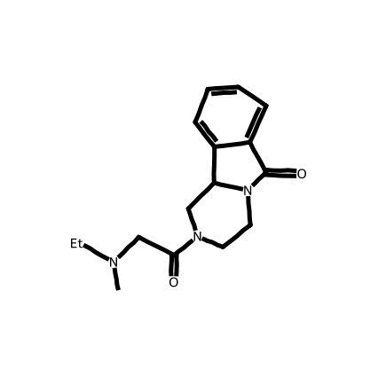 CCN(C)CC(=O)N1CCN2C(=O)c3ccccc3C2C1